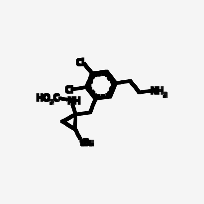 CC(C)(C)C1CC1(Cc1cc(CCN)cc(Cl)c1Cl)NC(=O)O